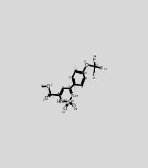 COC(=O)C1=CC(c2ccc(OC(F)(F)F)cc2)=NS(=O)(=O)N1